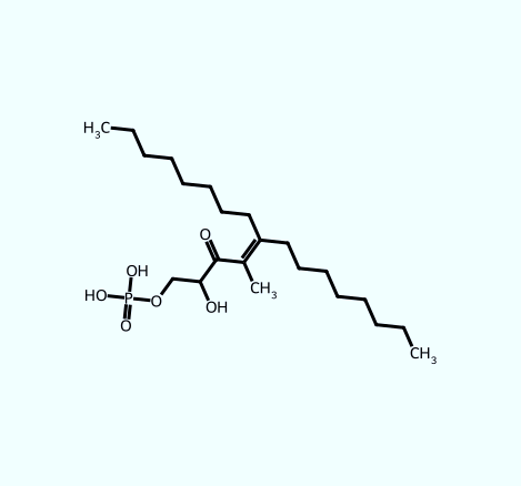 CCCCCCCCC(CCCCCCCC)=C(C)C(=O)C(O)COP(=O)(O)O